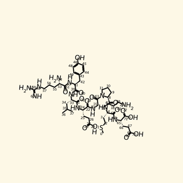 CSCC[C@H](NC(=O)[C@@H]1CCCN1C(=O)[C@H](CCCCN)NC(=O)[C@H](CCC(=O)O)NC(=O)[C@H](CC(C)C)NC(=O)[C@H](Cc1ccc(O)cc1)NC(=O)[C@@H](N)CCCNC(=N)N)C(=O)N[C@@H](CCC(=O)O)C(=O)O